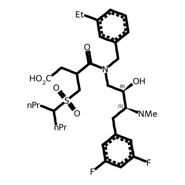 CCCC(CCC)S(=O)(=O)CC(CC(=O)O)C(=O)N(Cc1cccc(CC)c1)C[C@@H](O)[C@H](Cc1cc(F)cc(F)c1)NC